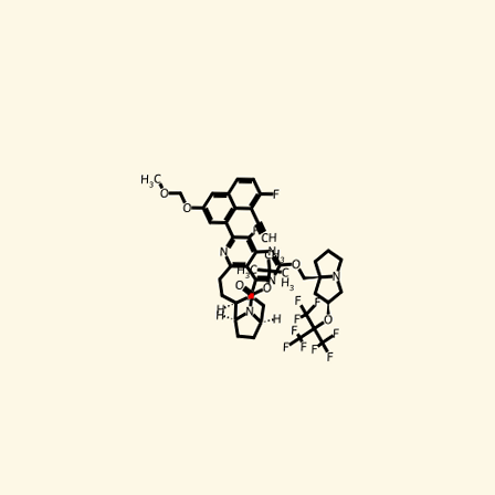 C#Cc1c(F)ccc2cc(OCOC)cc(-c3nc4c5c(nc(OC[C@@]67CCCN6C[C@@H](OC(C(F)(F)F)(C(F)(F)F)C(F)(F)F)C7)nc5c3F)N3C[C@H]5CC[C@@H]([C@H]3CC4)N5C(=O)OC(C)(C)C)c12